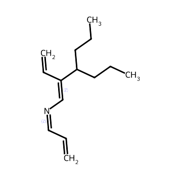 C=C/C=N\C=C(/C=C)C(CCC)CCC